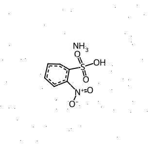 N.O=[N+]([O-])c1ccccc1S(=O)(=O)O